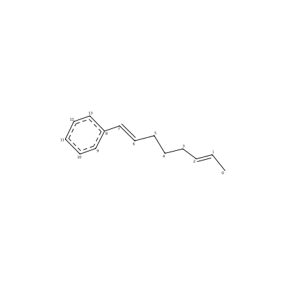 CC=CCCCC=Cc1ccccc1